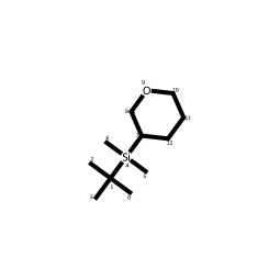 CC(C)(C)[Si](C)(C)C1[C]OCCC1